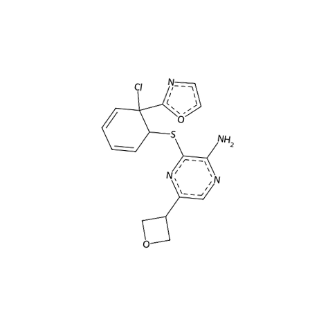 Nc1ncc(C2COC2)nc1SC1C=CC=CC1(Cl)c1ncco1